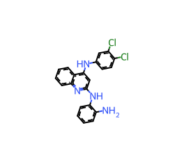 Nc1ccccc1Nc1cc(Nc2ccc(Cl)c(Cl)c2)c2ccccc2n1